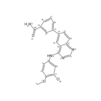 COc1ccc(Nc2ncnc3ccc(-c4cccc(C(N)=O)c4)cc23)cc1Cl